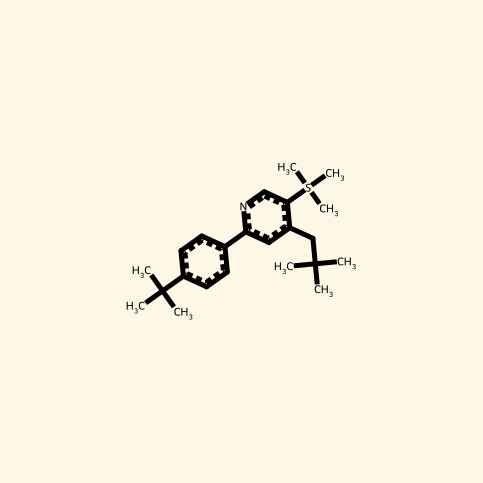 CC(C)(C)Cc1cc(-c2ccc(C(C)(C)C)cc2)ncc1S(C)(C)C